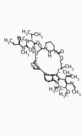 C=CC(=O)N(C)C(=O)N(C)[C@H](C(=O)N[C@H]1Cc2nc(cs2)-c2ccc3c(c2)c(c(/C(C=C)=C(/N=C\C)[C@H](C)OC)n3CC)CC(C)(C)COC(=O)[C@@H]2CCCN(N2)C1=O)C(C)C